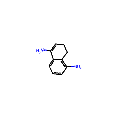 NC1=CCCc2c(N)cccc21